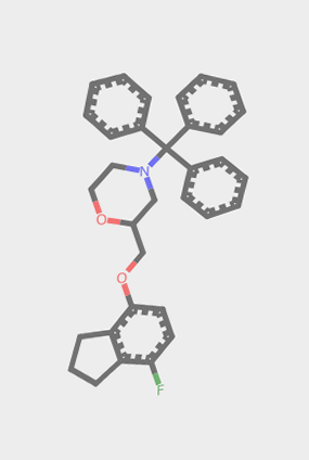 Fc1ccc(OCC2CN(C(c3ccccc3)(c3ccccc3)c3ccccc3)CCO2)c2c1CCC2